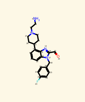 NCCN1CCC(c2cccc3c2nc(C=O)n3Cc2ccc(F)cc2)CC1